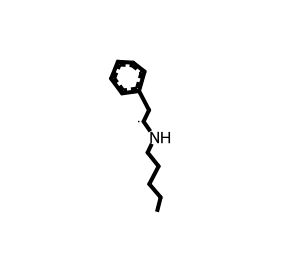 CCCCCN[CH]Cc1ccccc1